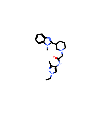 CCn1cc(NC(=O)CN2CCCC(c3nc4ccccc4n3C)C2)c(C)n1